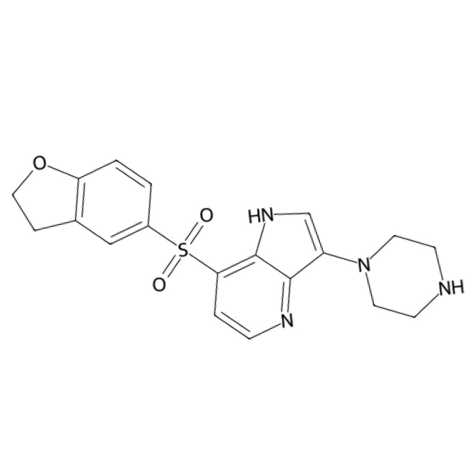 O=S(=O)(c1ccc2c(c1)CCO2)c1ccnc2c(N3CCNCC3)c[nH]c12